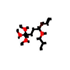 C=CSC(CC[Si](OC)(OC)OC)OCCC